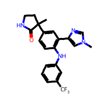 Cn1cnc(-c2cc(C3(C)CCNC3=O)ccc2Nc2cccc(C(F)(F)F)c2)c1